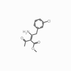 COC(=O)C(C(C)=O)=C(N)Cc1cccc(Cl)c1